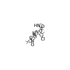 Cc1cc(Cl)cc(-c2ncnn3cc(CN4C(=O)C5C(C4=O)C5(C)C)cc23)c1OC(C)[C@@H]1CNCCO1